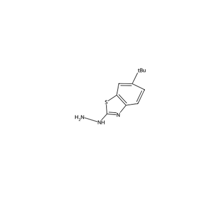 CC(C)(C)c1ccc2nc(NN)sc2c1